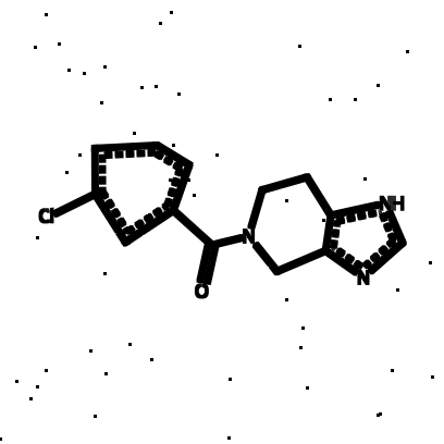 O=C(c1cccc(Cl)c1)N1CCc2[nH]cnc2C1